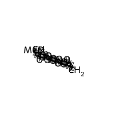 C=Cc1ccc(C(=O)OCCOCCOCCOCCOCc2cc(C=C)ccc2C(=O)OCCOCCOCCOCCOCCOC)cc1